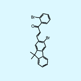 CC1(C)c2ccccc2-c2cc(Br)c(/C=C/C(=O)c3ccccc3Br)cc21